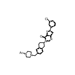 CC(=O)N1CCN(Cc2ccc3c(c2)CCC(n2cnc4cc(-c5cccc(Cl)c5)sc4c2=O)C3)CC1